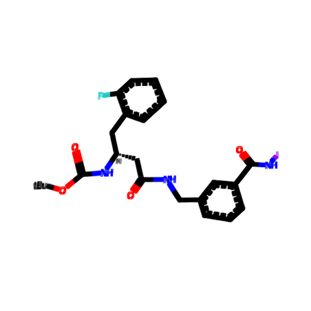 CC(C)(C)OC(=O)N[C@@H](CC(=O)NCc1cccc(C(=O)NI)c1)Cc1ccccc1F